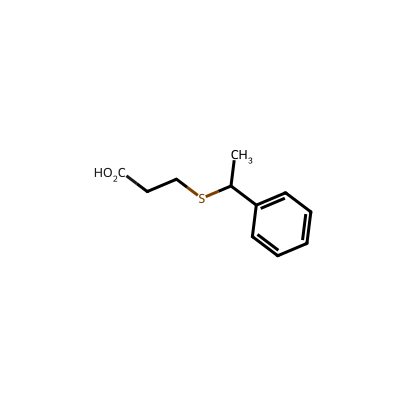 CC(SCCC(=O)O)c1ccccc1